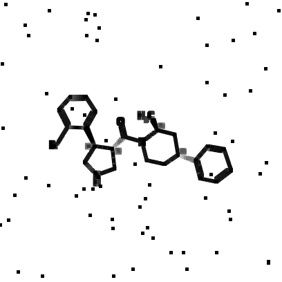 C[C@H]1C[C@H](c2ccccc2)CCN1C(=O)[C@@H]1CNC[C@H]1c1ccccc1Br